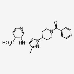 Cc1nn(C2CCN(C(=O)c3ccccc3)CC2)cc1Nc1cnccc1C(=O)O